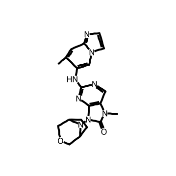 Cc1cc2nccn2cc1Nc1ncc2c(n1)n(N1C3CCC1COC3)c(=O)n2C